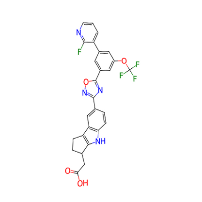 O=C(O)CC1CCc2c1[nH]c1ccc(-c3noc(-c4cc(OC(F)(F)F)cc(-c5cccnc5F)c4)n3)cc21